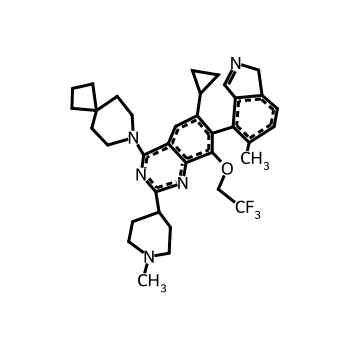 Cc1ccc2c(c1-c1c(C3CC3)cc3c(N4CCC5(CCC5)CC4)nc(C4CCN(C)CC4)nc3c1OCC(F)(F)F)C=NC2